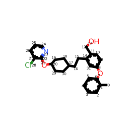 Cc1ccccc1Oc1ccc(CO)c(CCC2CCC(Oc3ncccc3Cl)CC2)c1